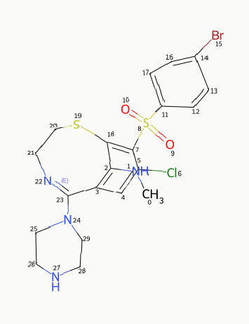 CNc1c2cc(Cl)c(S(=O)(=O)c3ccc(Br)cc3)c1SCC/N=C\2N1CCNCC1